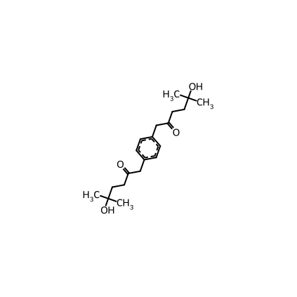 CC(C)(O)CCC(=O)Cc1ccc(CC(=O)CCC(C)(C)O)cc1